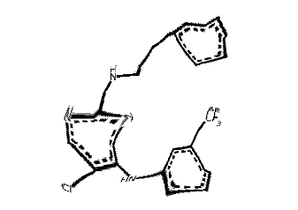 FC(F)(F)c1cccc(Nc2nc(NCCc3ccccc3)ncc2Cl)c1